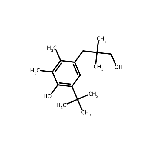 Cc1c(CC(C)(C)CO)cc(C(C)(C)C)c(O)c1C